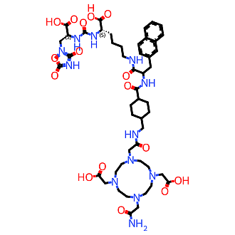 NC(=O)CN1CCN(CC(=O)O)CCN(CC(=O)NCC2CCC(C(=O)NC(Cc3ccc4ccccc4c3)C(=O)NCCCC[C@H](NC(=O)N[C@@H](Cn3oc(=O)[nH]c3=O)C(=O)O)C(=O)O)CC2)CCN(CC(=O)O)CC1